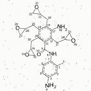 Cc1cc(N)ccc1NC(=O)c1c(CC2CO2)c(N)c(CC2CO2)c(CC2CO2)c1CC1CO1